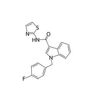 O=C(Nc1nccs1)c1cn(Cc2ccc(F)cc2)c2ccccc12